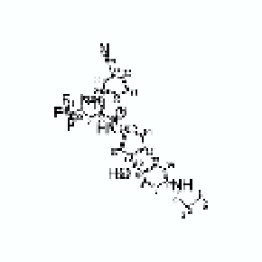 CCC(C)CNc1ccc(C(O)c2cccc(NC(=O)c3cc(C(F)(F)F)nn3-c3cccc(C#N)c3)c2)cc1